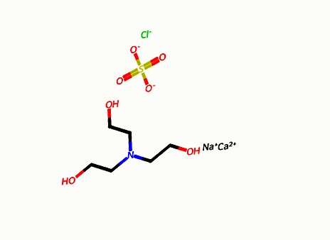 O=S(=O)([O-])[O-].OCCN(CCO)CCO.[Ca+2].[Cl-].[Na+]